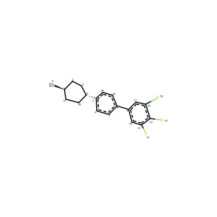 CC[C@H]1CC[C@H](c2ccc(-c3cc(F)c(F)c(F)c3)cc2)CC1